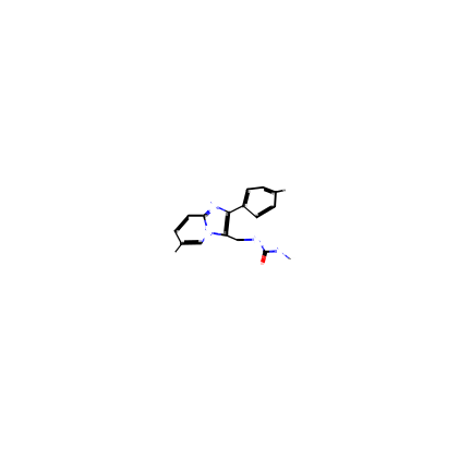 CCNC(=O)NCc1c(-c2ccc(C)cc2)nc2ccc(C)cn12